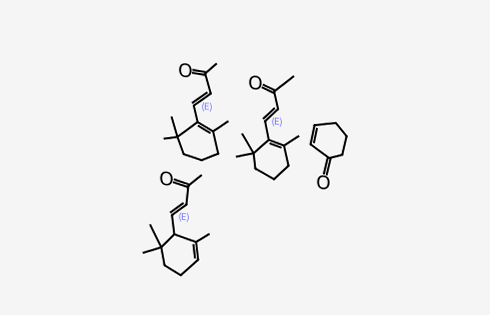 CC(=O)/C=C/C1=C(C)CCCC1(C)C.CC(=O)/C=C/C1=C(C)CCCC1(C)C.CC(=O)/C=C/C1C(C)=CCCC1(C)C.O=C1C=CCCC1